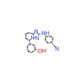 N#Cc1ccc(Nc2nc3cccc(-c4cccc(O)c4)n3n2)cc1